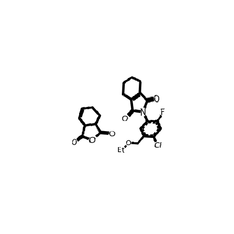 CCOCc1cc(N2C(=O)C3=C(CCCC3)C2=O)c(F)cc1Cl.O=C1OC(=O)C2CCC=CC12